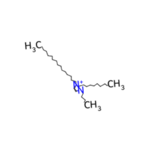 CCCCCCCCCCCCCCCC[n+]1ccn(CCCCC)c1CCCCCCCCC